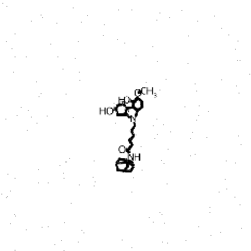 COc1ccc2c3c1O[C@H]1C[C@@H](O)C=C[C@@]31CCN(CCCCCC(=O)NC13CC4CC(CC(C4)C1)C3)C2